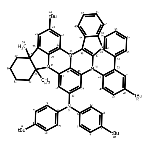 CC(C)(C)c1ccc(N(c2ccc(C(C)(C)C)cc2)c2cc3c4c(c2)N2c5c(cc(C(C)(C)C)cc5C5(C)CCCCC25C)B4c2c(sc4ccccc24)N3c2ccc(C(C)(C)C)cc2-c2ccccc2)cc1